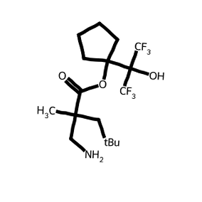 CC(C)(C)CC(C)(CN)C(=O)OC1(C(O)(C(F)(F)F)C(F)(F)F)CCCC1